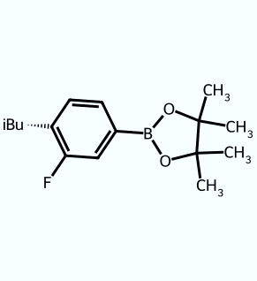 CC[C@@H](C)c1ccc(B2OC(C)(C)C(C)(C)O2)cc1F